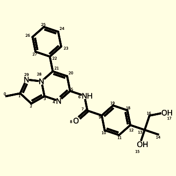 Cc1cc2nc(NC(=O)c3ccc(C(C)(O)CO)cc3)cc(-c3ccccc3)n2n1